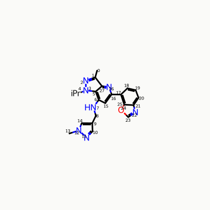 Cc1nn(C(C)C)c2c(NCc3cnn(C)c3)cc(-c3cccc4ncoc34)nc12